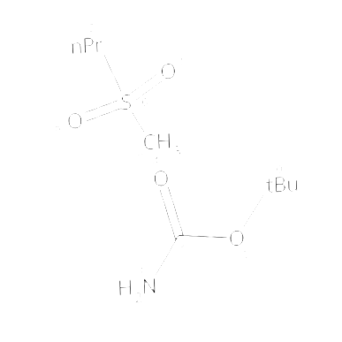 CC(C)(C)OC(N)=O.CCCS(C)(=O)=O